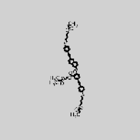 C=CC(=O)OCCCCCSc1ccc(C#Cc2ccc(OCc3ccc4cc(C#Cc5ccc(SCCCCCOC(=O)C=C)cc5)ccc4c3)c(C(=O)OCCOC(=O)C(=C)C)c2)cc1